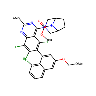 COCOc1cc(-c2c(Br)c(F)c3nc(SC)nc(N4CC5CCC(C4)N5C(=O)OC(C)(C)C)c3c2F)c2c(F)cccc2c1